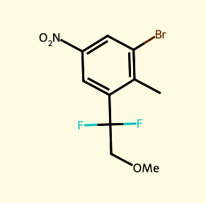 COCC(F)(F)c1cc([N+](=O)[O-])cc(Br)c1C